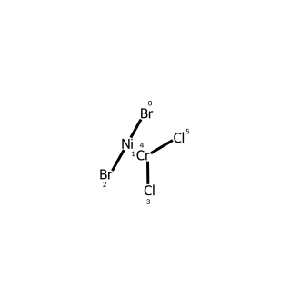 [Br][Ni][Br].[Cl][Cr][Cl]